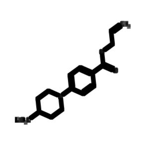 C=CCOC(=O)c1ccc(N2CCC(C(=O)OCC)CC2)cc1